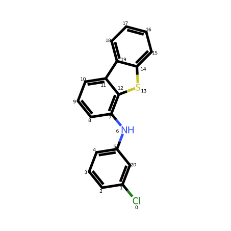 Clc1cccc(Nc2cccc3c2sc2ccccc23)c1